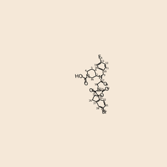 O=C(O)N1CCCC(N(Cc2ccc(F)cc2)C(=O)CN2C(=O)O[C@@]3(CCc4cc(Br)ccc43)C2=O)C1